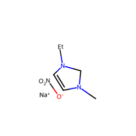 CCN1C=CN(C)C1.O=[N+]([O-])[O-].[Na+]